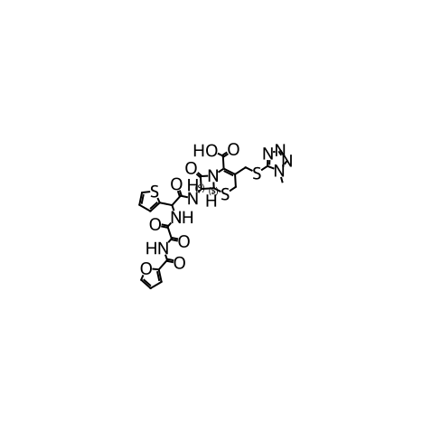 Cn1nnnc1SCC1=C(C(=O)O)N2C(=O)[C@H](NC(=O)C(NC(=O)C(=O)NC(=O)c3ccco3)c3cccs3)[C@@H]2SC1